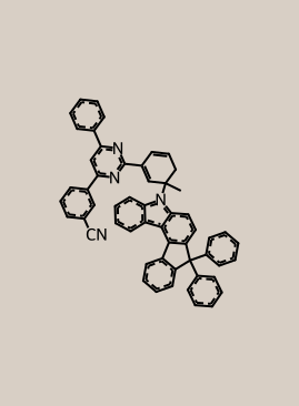 CC1(n2c3ccccc3c3c4c(ccc32)C(c2ccccc2)(c2ccccc2)c2ccccc2-4)C=C(c2nc(-c3ccccc3)cc(-c3cccc(C#N)c3)n2)C=CC1